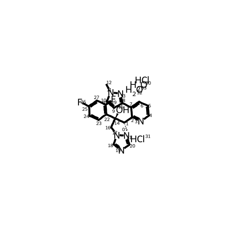 C[C@@H](c1ncccc1-c1ccn(C)n1)[C@](O)(Cn1cncn1)c1ccc(F)cc1F.Cl.Cl.O.O